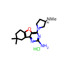 CN[C@@H]1CCN(c2nc(N)nc3c4c(oc23)CCC(C)(C)C4)C1.Cl